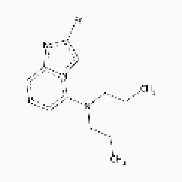 CCCN(CCC)c1cccc2nc(Br)cn12